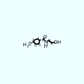 C[C@H]1CC[C@H](C(=O)NCCO)CC1